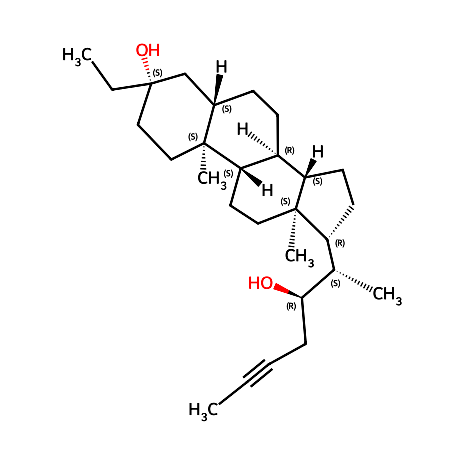 CC#CC[C@@H](O)[C@@H](C)[C@H]1CC[C@H]2[C@@H]3CC[C@H]4C[C@](O)(CC)CC[C@]4(C)[C@H]3CC[C@]12C